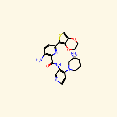 Nc1ccc(-c2scc3c2OCCO3)nc1C(=O)Nc1cnccc1N1CCC[C@H](N)C1